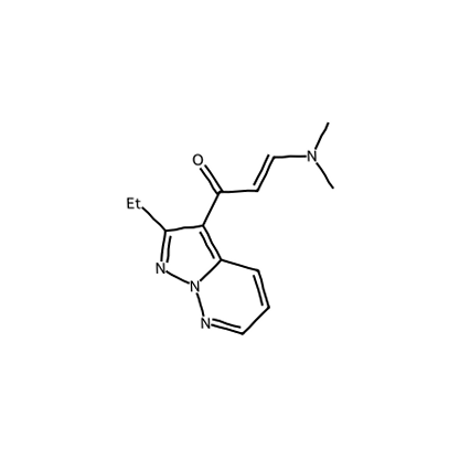 CCc1nn2ncccc2c1C(=O)C=CN(C)C